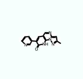 Cc1cc2ncc3cc(-c4cccnc4)c(=O)[nH]c3n2n1